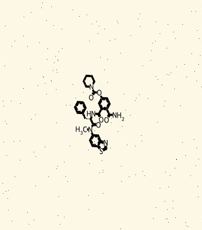 CN(C(=O)[C@H](Cc1ccccc1)NC(=O)c1cc(OC(=O)N2CCCCC2)ccc1C(N)=O)c1ccc2scnc2c1